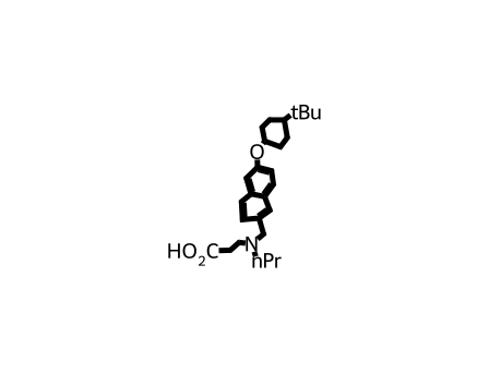 CCCN(CCC(=O)O)Cc1ccc2cc(OC3CCC(C(C)(C)C)CC3)ccc2c1